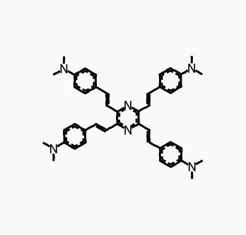 CN(C)c1ccc(C=Cc2nc(C=Cc3ccc(N(C)C)cc3)c(C=Cc3ccc(N(C)C)cc3)nc2C=Cc2ccc(N(C)C)cc2)cc1